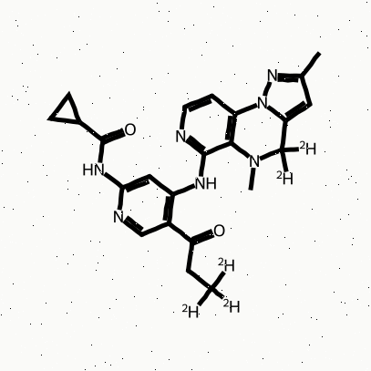 [2H]C([2H])([2H])CC(=O)c1cnc(NC(=O)C2CC2)cc1Nc1nccc2c1N(C)C([2H])([2H])c1cc(C)nn1-2